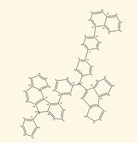 C1=Cc2c(cc(N(c3ccc(-c4ccc(-c5cccc6ccccc56)cc4)cc3)c3cccc(-c4cccc5c4c4c6ccccc6ccc4n5-c4ccccc4)c3)c3ccccc23)CC1